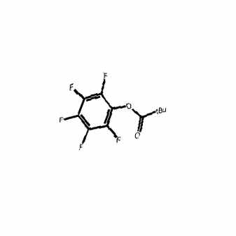 CC(C)(C)C(=O)Oc1c(F)c(F)c(F)c(F)c1F